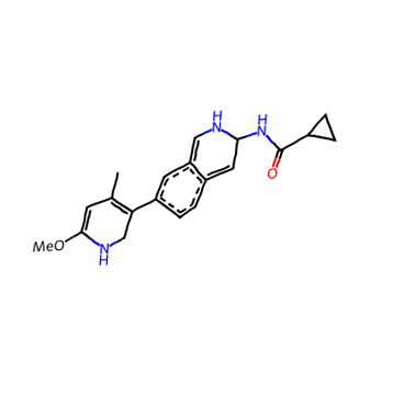 COC1=CC(C)=C(c2ccc3c(c2)=CNC(NC(=O)C2CC2)C=3)CN1